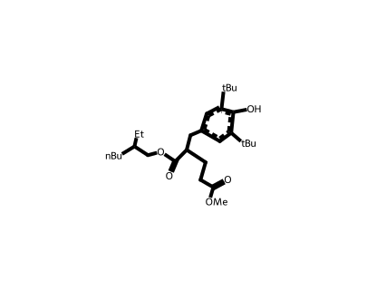 CCCCC(CC)COC(=O)C(CCC(=O)OC)Cc1cc(C(C)(C)C)c(O)c(C(C)(C)C)c1